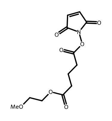 COCCOC(=O)CCCC(=O)ON1C(=O)C=CC1=O